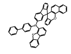 c1ccc(-c2ccc(N(c3ccc4c(c3)C3(c5ccccc5Oc5c3ccc3ccccc53)c3ccccc3-4)c3cccc4c3sc3ccccc34)cc2)cc1